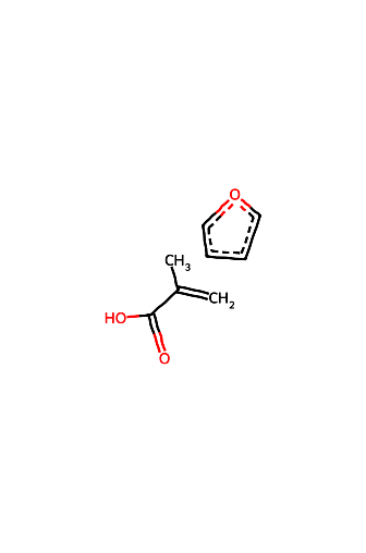 C=C(C)C(=O)O.c1ccoc1